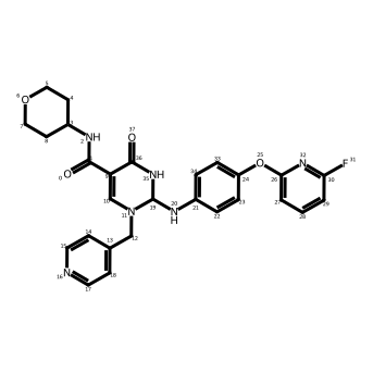 O=C(NC1CCOCC1)C1=CN(Cc2ccncc2)C(Nc2ccc(Oc3cccc(F)n3)cc2)NC1=O